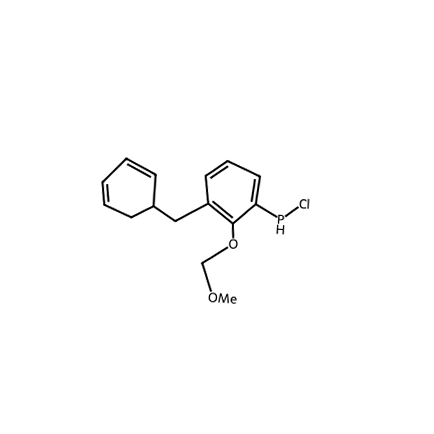 COCOc1c(CC2C=CC=CC2)cccc1PCl